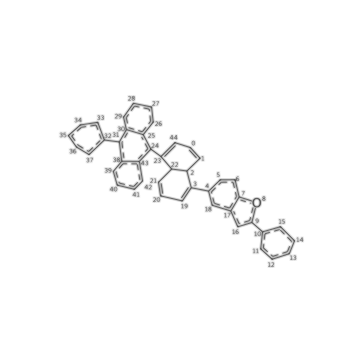 C1=CC2C(c3ccc4oc(-c5ccccc5)cc4c3)=CC=CC2C(c2c3ccccc3c(-c3ccccc3)c3ccccc23)=C1